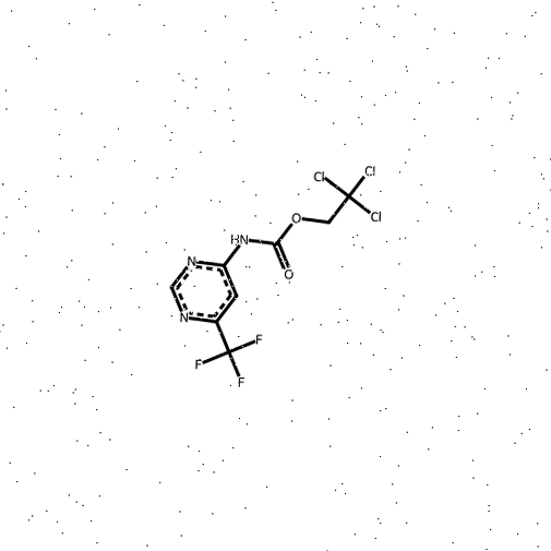 O=C(Nc1cc(C(F)(F)F)ncn1)OCC(Cl)(Cl)Cl